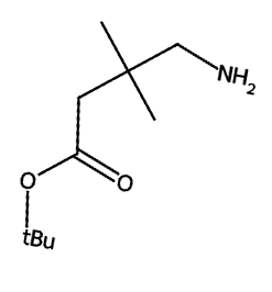 CC(C)(CN)CC(=O)OC(C)(C)C